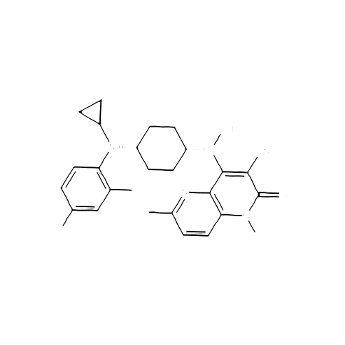 Cn1c(=O)c(C#N)c(N(C)[C@H]2CC[C@@H](N(c3ccc(F)cc3F)C3CC3)CC2)c2nc(Cl)ccc21